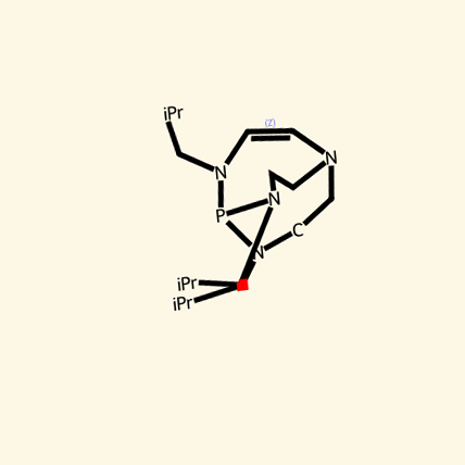 CC(C)CN1/C=C\N2CCN(CC(C)C)P1N(CC(C)C)CC2